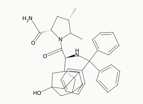 CC1[C@@H](C)C[C@@H](C(N)=O)N1C(=O)[C@@H](NC(c1ccccc1)(c1ccccc1)c1ccccc1)[C@@]12CC3CC1CC(O)(C3)C2